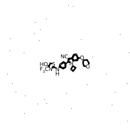 N#Cc1c(-c2ccc(NC3=NC(O)(C(F)(F)F)CS3)cc2)n(C2CCC2)c2cc(OC3CCOCC3)ccc12